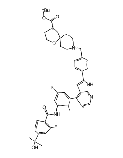 Cc1c(NC(=O)c2ccc(C(C)(C)O)cc2F)cc(F)cc1-c1ncnc2[nH]c(-c3ccc(CN4CCC5(CC4)CN(C(=O)OC(C)(C)C)CCO5)cc3)cc12